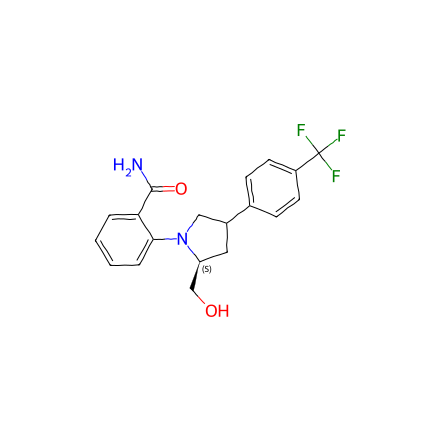 NC(=O)c1ccccc1N1CC(c2ccc(C(F)(F)F)cc2)C[C@H]1CO